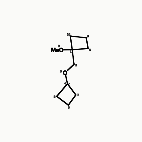 COC1(CO[C]2CCC2)CCC1